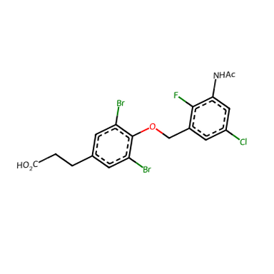 CC(=O)Nc1cc(Cl)cc(COc2c(Br)cc(CCC(=O)O)cc2Br)c1F